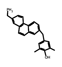 Cc1cc(Cc2ccc3c(ccc4cc(CP)ccc43)c2)cc(C)c1O